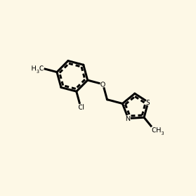 Cc1ccc(OCc2csc(C)n2)c(Cl)c1